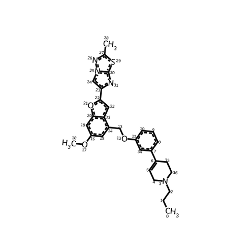 CCCN1CC=C(c2cccc(OCc3cc(OC)cc4oc(-c5cn6nc(C)sc6n5)cc34)c2)CC1